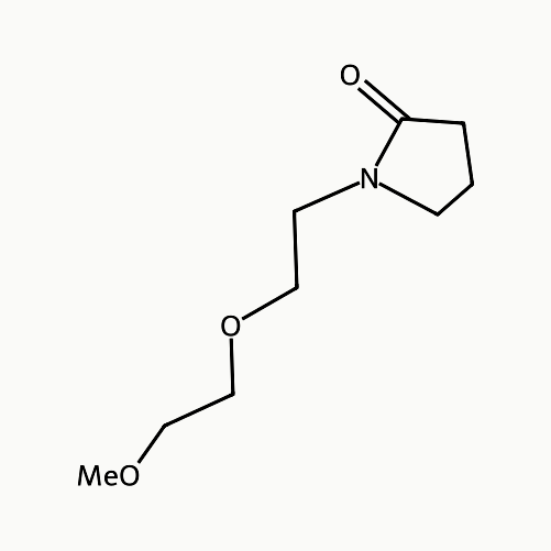 COCCOCCN1CCCC1=O